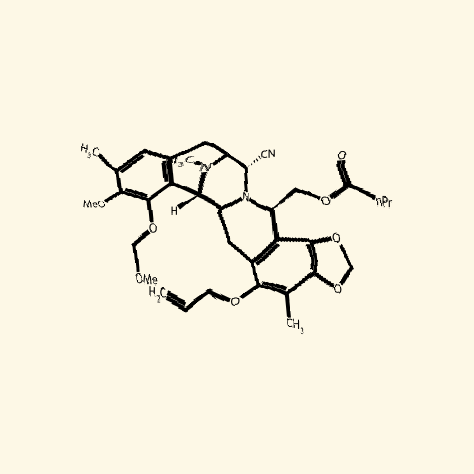 C=CCOc1c(C)c2c(c3c1CC1[C@@H]4c5c(cc(C)c(OC)c5OCOC)CC([C@H](C#N)N1[C@H]3COC(=O)CCC)N4C)OCO2